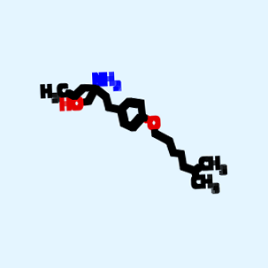 CCC[C@@](N)(CO)CCc1ccc(OCCCCCC(C)C)cc1